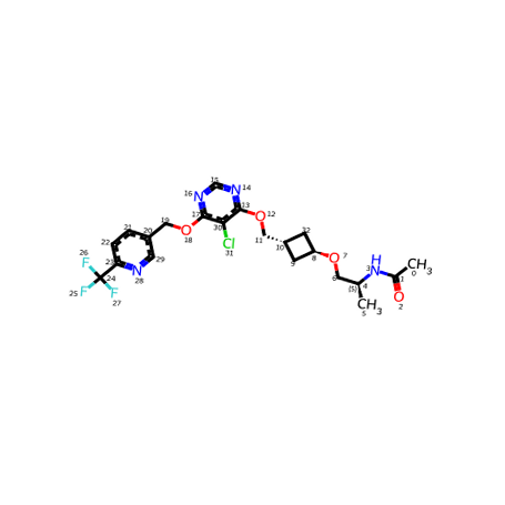 CC(=O)N[C@@H](C)CO[C@H]1C[C@H](COc2ncnc(OCc3ccc(C(F)(F)F)nc3)c2Cl)C1